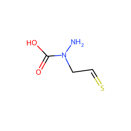 NN(CC=S)C(=O)O